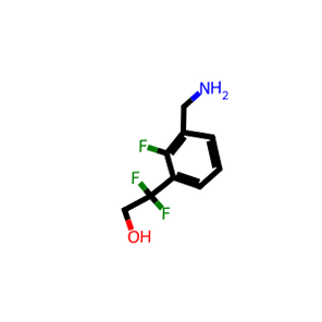 NCc1cccc(C(F)(F)CO)c1F